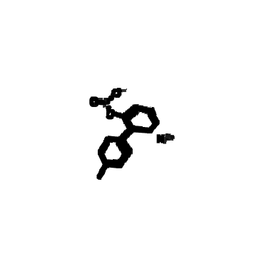 Cc1ccc(-c2ccccc2OP([O-])[O-])cc1.[Ni+2]